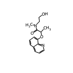 CC(Oc1cccc2cccnc12)C(=O)N(C)CCO